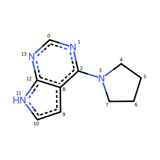 c1nc(N2CCCC2)c2cc[nH]c2n1